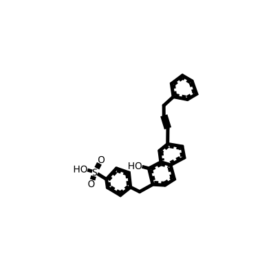 O=S(=O)(O)c1ccc(Cc2ccc3ccc(C#CCc4ccccc4)cc3c2O)cc1